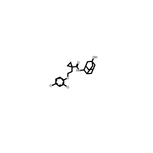 O=C(NC1C2CC3CC1CC(O)(C3)C2)C1(CCOc2ccc(Cl)cc2Cl)CC1